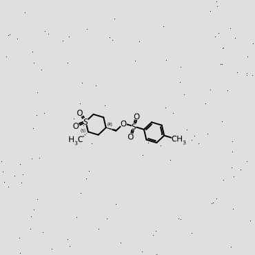 Cc1ccc(S(=O)(=O)OC[C@@H]2CCS(=O)(=O)[C@@H](C)C2)cc1